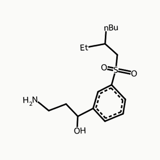 CCCCC(CC)CS(=O)(=O)c1cccc(C(O)CCN)c1